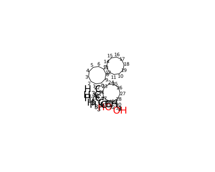 C1CCCCCCCCC1.C1CCCCCCCCC1.CC1(C)CCCCCCC(CO)(CO)C(C)(C)C1(C)C